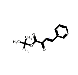 CC(C)(C)OC(=O)C(=O)/C=C/c1cccnc1